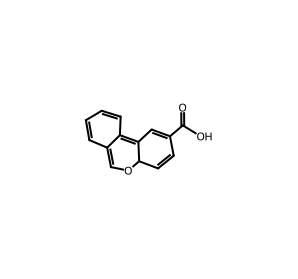 O=C(O)C1=CC2=c3ccccc3=COC2C=C1